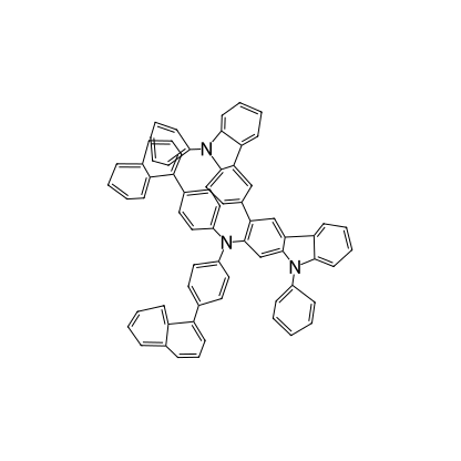 c1ccc(-n2c3ccccc3c3cc(-c4cc5c6ccccc6n(-c6ccccc6)c5cc4N(c4ccc(-c5cccc6ccccc56)cc4)c4ccc(-c5cccc6ccccc56)cc4)ccc32)cc1